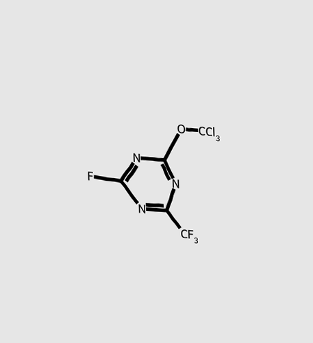 Fc1nc(OC(Cl)(Cl)Cl)nc(C(F)(F)F)n1